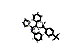 CC(C)(C)c1ccc(C(=O)OC(/C(=C\c2ccccc2)n2cncn2)c2ccccc2)cc1